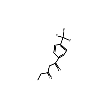 CCC(=O)CC(=O)c1ccc(C(F)(F)F)cc1